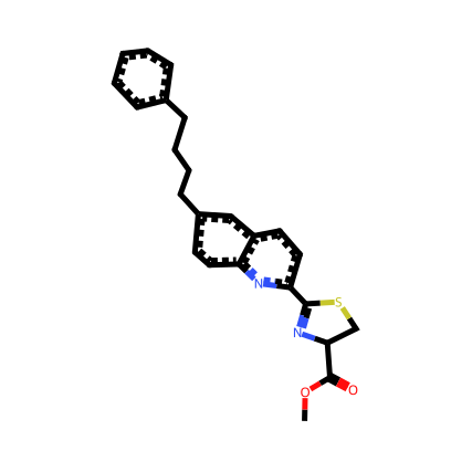 COC(=O)C1CSC(c2ccc3cc(CCCCc4ccccc4)ccc3n2)=N1